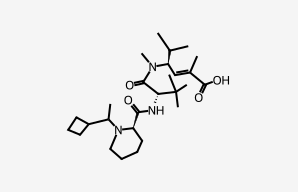 C/C(=C\[C@H](C(C)C)N(C)C(=O)[C@@H](NC(=O)[C@H]1CCCCN1C(C)C1CCC1)C(C)(C)C)C(=O)O